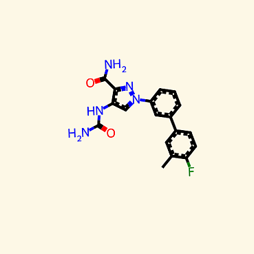 Cc1cc(-c2cccc(-n3cc(NC(N)=O)c(C(N)=O)n3)c2)ccc1F